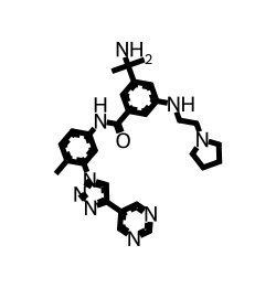 Cc1ccc(NC(=O)c2cc(NCCN3CCCC3)cc(C(C)(C)N)c2)cc1-n1cc(-c2cncnc2)nn1